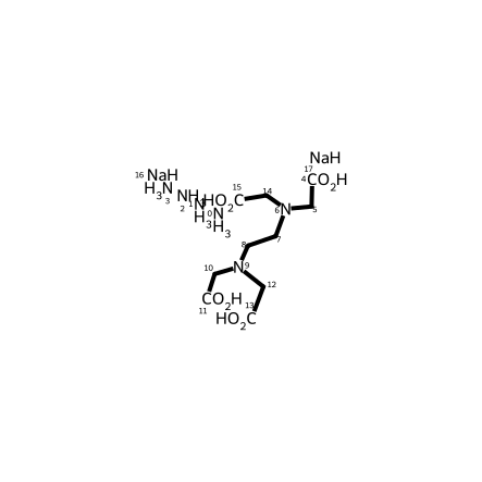 N.N.N.N.O=C(O)CN(CCN(CC(=O)O)CC(=O)O)CC(=O)O.[NaH].[NaH]